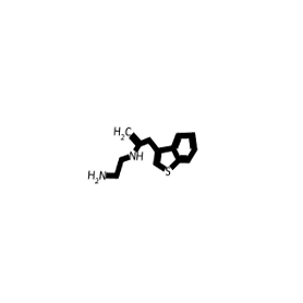 C=C(Cc1csc2ccccc12)NCCN